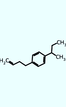 C=CCCc1ccc(C(C)CC)cc1